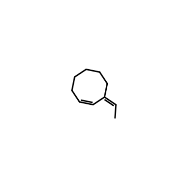 CC=C1C=CCCCCC1